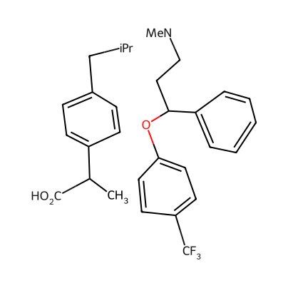 CC(C)Cc1ccc(C(C)C(=O)O)cc1.CNCCC(Oc1ccc(C(F)(F)F)cc1)c1ccccc1